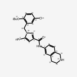 CCCc1cc(C(=O)Nc2ccc3c(c2)CCNC3)nn1Cc1cc(Cl)ccc1OCC(C)C